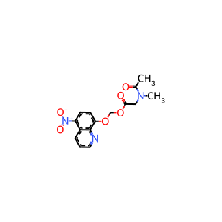 CC(=O)N(C)CC(=O)OCOc1ccc([N+](=O)[O-])c2cccnc12